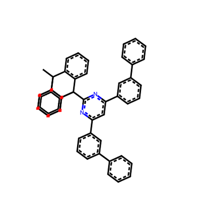 CC12c3ccccc3C(c3nc(-c4cccc(-c5ccccc5)c4)cc(-c4cccc(-c5ccccc5)c4)n3)(c3ccccc31)c1ccccc12